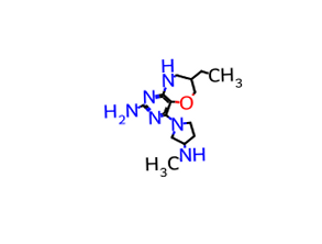 CCC1CNc2nc(N)nc(N3CC[C@@H](NC)C3)c2OC1